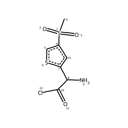 CS(=O)(=O)c1csc(C(N)C(=O)Cl)c1